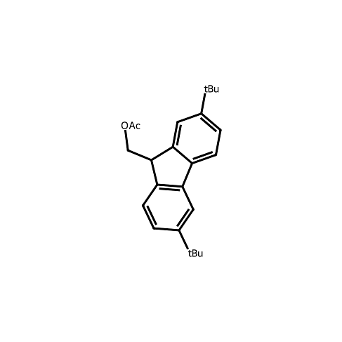 CC(=O)OCC1c2ccc(C(C)(C)C)cc2-c2ccc(C(C)(C)C)cc21